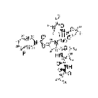 C=CC(=O)N(C)C[C@H](NC(=O)OC(C)(C)C)C(=O)N1CC(OC(=O)N2Cc3cccc(F)c3C2)C[C@H]1C(=O)N[C@]1(C(=O)NS(=O)(=O)C2CC2)C[C@H]1CC